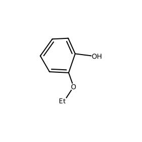 [CH2]COc1ccccc1O